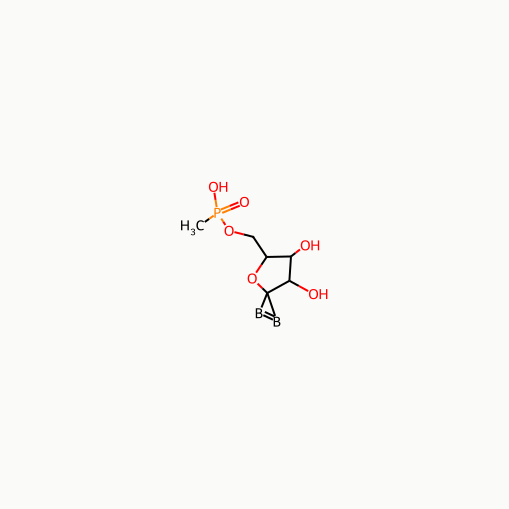 CP(=O)(O)OCC1OC2(B=B2)C(O)C1O